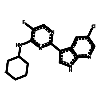 Fc1cnc(-c2c[nH]c3ncc(Cl)cc23)nc1NC1C[CH]CCC1